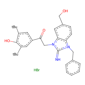 Br.CC(C)(C)c1cc(C(=O)Cn2c(=N)n(Cc3ccccc3)c3ccc(CO)cc32)cc(C(C)(C)C)c1O